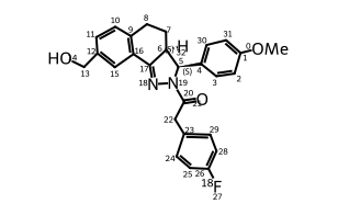 COc1ccc([C@@H]2[C@@H]3CCc4ccc(CO)cc4C3=NN2C(=O)Cc2ccc([18F])cc2)cc1